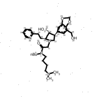 CCCCN(CCCCN(C)C)C(=O)CN1C[C@H](c2cc(CO)c3c(c2)OCO3)[C@@H](C(=O)O)[C@@H]1CCc1ccccn1